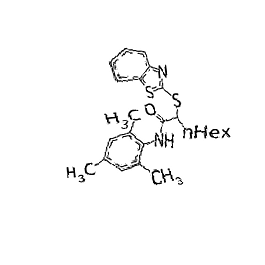 CCCCCCC(Sc1nc2ccccc2s1)C(=O)Nc1c(C)cc(C)cc1C